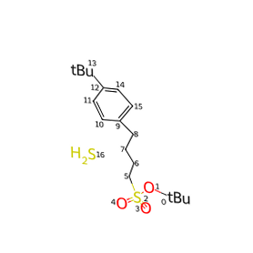 CC(C)(C)OS(=O)(=O)CCCCc1ccc(C(C)(C)C)cc1.S